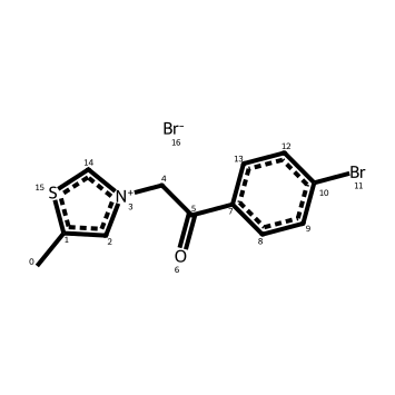 Cc1c[n+](CC(=O)c2ccc(Br)cc2)cs1.[Br-]